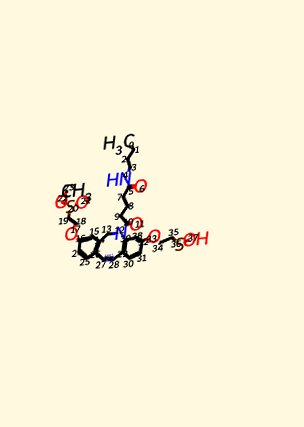 CCCCNC(=O)CCCC(=O)N1Cc2cc(OCCS(=O)OC)ccc2/C=C\c2ccc(OCCSO)cc21